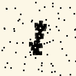 CCCCc1cc(F)c(OCc2ccc(-c3cc(F)c(F)c(F)c3)cc2)c(F)c1